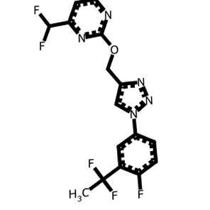 CC(F)(F)c1cc(-n2cc(COc3nccc(C(F)F)n3)nn2)ccc1F